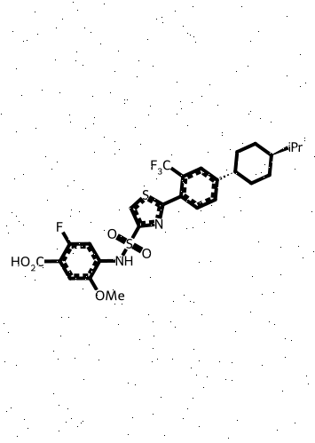 COc1cc(C(=O)O)c(F)cc1NS(=O)(=O)c1csc(-c2ccc([C@H]3CC[C@H](C(C)C)CC3)cc2C(F)(F)F)n1